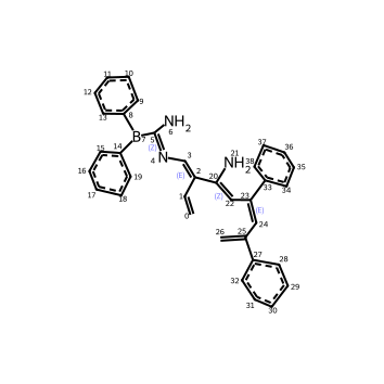 C=CC(=C\N=C(/N)B(c1ccccc1)c1ccccc1)/C(N)=C/C(=C\C(=C)c1ccccc1)c1ccccc1